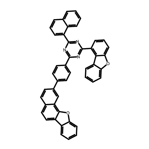 c1ccc2c(-c3nc(-c4ccc(-c5ccc6ccc7c8ccccc8oc7c6c5)cc4)nc(-c4cccc5oc6ccccc6c45)n3)cccc2c1